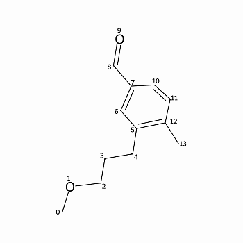 COCCCc1cc(C=O)ccc1C